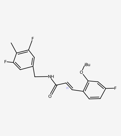 CCC(C)Oc1cc(F)ccc1/C=C/C(=O)NCc1cc(F)c(C)c(F)c1